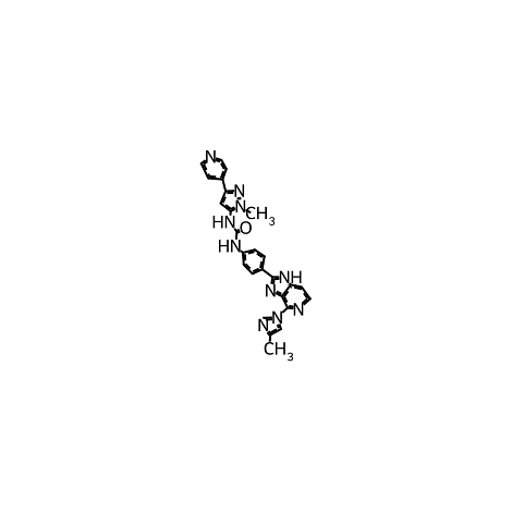 Cc1cn(-c2nccc3[nH]c(-c4ccc(NC(=O)Nc5cc(-c6ccncc6)nn5C)cc4)nc23)cn1